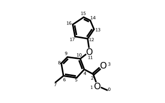 COC(=O)c1cc(C)ccc1Oc1ccccc1